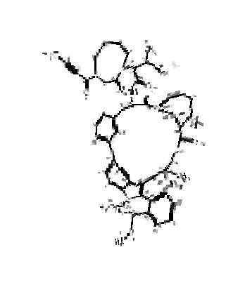 CC#CC(=O)N1CCCCN(C(C(=O)N[C@H]2Cc3cccc(c3)-c3ccc4c(c3)c(c(-c3cccnc3[C@H](C)OC)n4CC)CC(C)(C)COC(=O)[C@@H]3CCCN(N3)C2=O)C(C)C)C(=O)C1